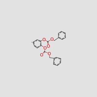 O=C(OCc1ccccc1)Oc1c[c]ccc1OC(=O)OCc1ccccc1